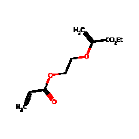 C=CC(=O)OCCOC(=C)C(=O)OCC